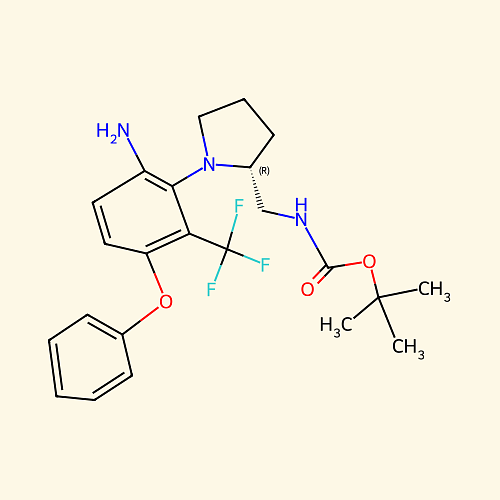 CC(C)(C)OC(=O)NC[C@H]1CCCN1c1c(N)ccc(Oc2ccccc2)c1C(F)(F)F